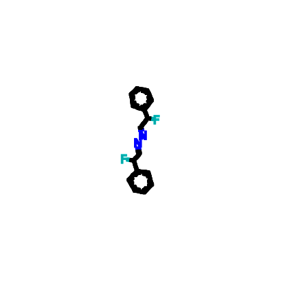 FC(/C=N/N=C/C(F)c1ccccc1)c1ccccc1